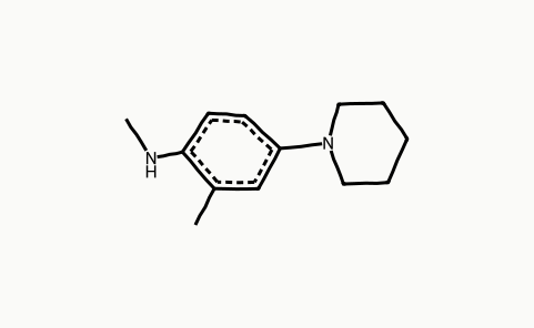 CNc1ccc(N2CCCCC2)cc1C